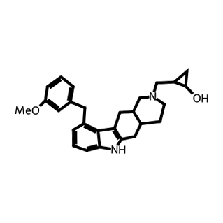 COc1cccc(Cc2cccc3[nH]c4c(c23)CC2CN(CC3CC3O)CCC2C4)c1